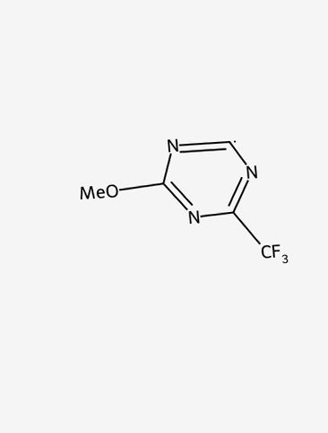 COc1n[c]nc(C(F)(F)F)n1